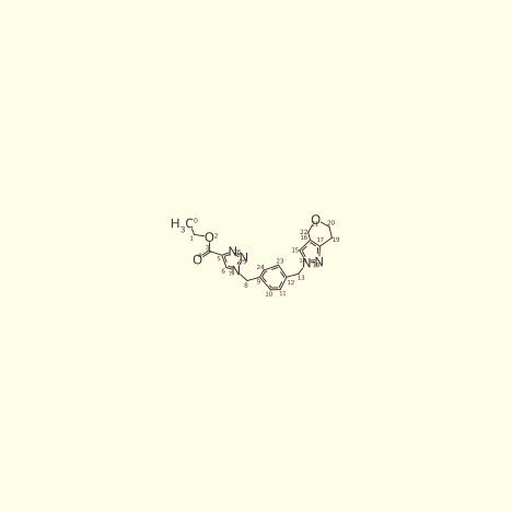 CCOC(=O)c1cn(Cc2ccc(Cn3cc4c(n3)CCOC4)cc2)nn1